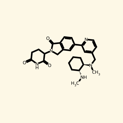 CN[C@@H]1CCCC[C@H]1N(C)Cc1ccnc(-c2ccc3c(c2)CN(C2CCC(=O)NC2=O)C3=O)c1